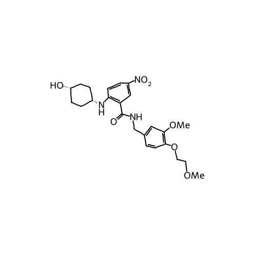 COCCOc1ccc(CNC(=O)c2cc([N+](=O)[O-])ccc2N[C@H]2CC[C@@H](O)CC2)cc1OC